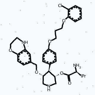 CC(C)[C@H](N)C(=O)O[C@@H]1CNC[C@H](OCc2ccc3c(c2)NCCO3)[C@H]1c1ccc(OCCCOc2ccccc2Cl)cc1